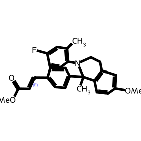 COC(=O)/C=C/c1ccc(C2(C)c3ccc(OC)cc3CCN2c2ccc(F)cc2C)cc1